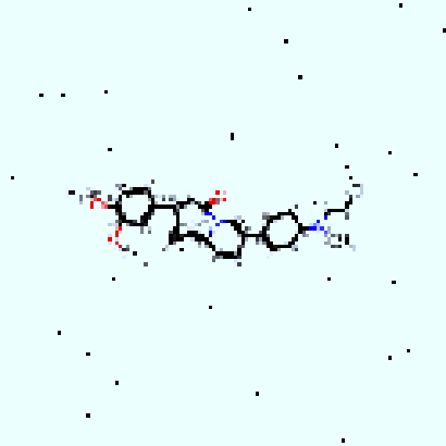 CCCN(C)C1CC=C(C2=CN3C(=O)\C=C(c4ccc(OC)c(OC)c4)/C=C/C=C/3C=C2)CC1